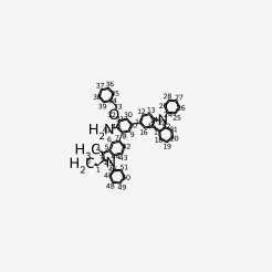 C=Cc1c(C)c2cc(-c3cc(-c4ccc5c(c4)c4ccccc4n5-c4ccccc4)cc(OCc4ccccc4)c3N)ccc2n1-c1ccccc1